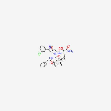 CC(C)(C)[C@H](NC(=O)CC1CC2CCC1C2)C(=O)N1C[C@@]2(CC(c3cccc(Cl)c3)=NO2)C[C@H]1C(=O)N[C@@H](CC1CC1)C(=O)C(N)=O